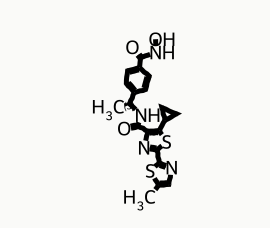 Cc1cnc(-c2nc(C(=O)N[C@@H](C)c3ccc(C(=O)NO)cc3)c(C3CC3)s2)s1